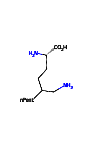 CCCCCC(CN)CC[C@H](N)C(=O)O